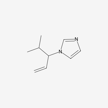 C=CC(C(C)C)n1ccnc1